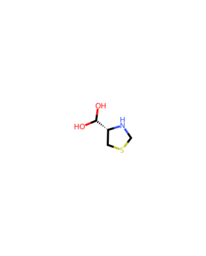 OC(O)[C@H]1CSCN1